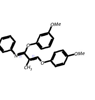 COc1ccc(O/C=C(C)/C(=N/c2ccccc2)Oc2cccc(OC)c2)cc1